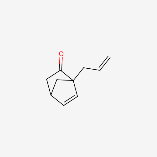 C=CCC12C=CC(CC1=O)C2